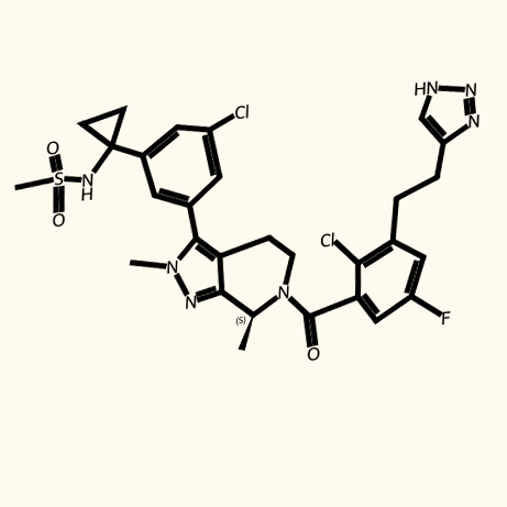 C[C@H]1c2nn(C)c(-c3cc(Cl)cc(C4(NS(C)(=O)=O)CC4)c3)c2CCN1C(=O)c1cc(F)cc(CCc2c[nH]nn2)c1Cl